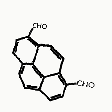 O=Cc1ccc2ccc3ccc(C=O)c4ccc1c2c34